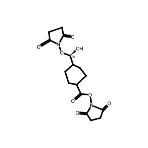 O=C(ON1C(=O)CCC1=O)C1CCC([C@H](O)ON2C(=O)CCC2=O)CC1